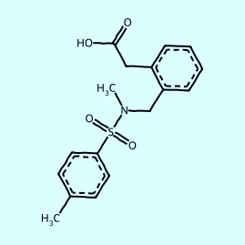 Cc1ccc(S(=O)(=O)N(C)Cc2ccccc2CC(=O)O)cc1